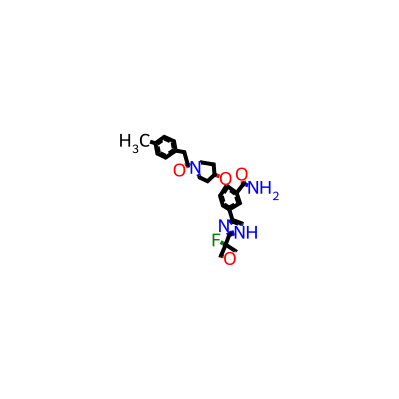 Cc1ccc(CC(=O)N2CCC(Oc3ccc(-c4c[nH]c(C5(F)COC5)n4)cc3C(N)=O)CC2)cc1